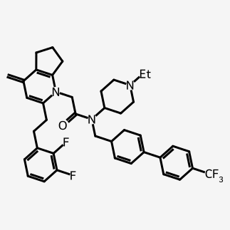 C=C1C=C(CCc2cccc(F)c2F)N(CC(=O)N(CC2C=CC(c3ccc(C(F)(F)F)cc3)=CC2)C2CCN(CC)CC2)C2=C1CCC2